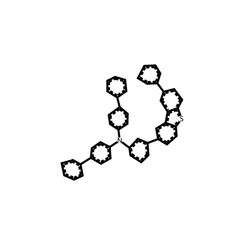 c1ccc(-c2ccc(N(c3ccc(-c4ccccc4)cc3)c3cccc(-c4ccc5sc6ccc(-c7ccccc7)cc6c5c4)c3)cc2)cc1